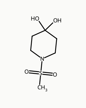 CS(=O)(=O)N1CCC(O)(O)CC1